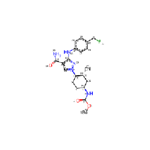 CC(C)(C)OC(=O)N[C@H]1CC[C@@H](n2cc(C(N)=O)c(Nc3ccc(CF)cc3)n2)[C@H](C#N)C1